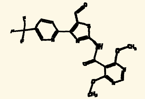 COc1ncnc(OC)c1C(=O)Nc1nc(-c2ccc(C(F)(F)F)cn2)c(C=O)s1